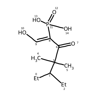 CCC(CC)C(C)(C)C(=O)C(=CO)P(=O)(O)O